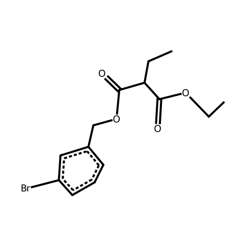 CCOC(=O)C(CC)C(=O)OCc1cccc(Br)c1